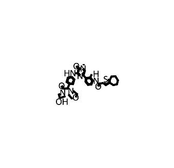 Cc1c(NC(=O)c2cc3c(s2)CCCCC3)cccc1-c1cn(C)c(=O)c(Nc2ccc(C(C(=O)N3CC(O)C3)N3CCOCC3)cc2)n1